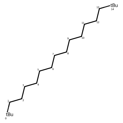 CC(C)(C)[CH]CCCCCCCCCCCCC(C)(C)C